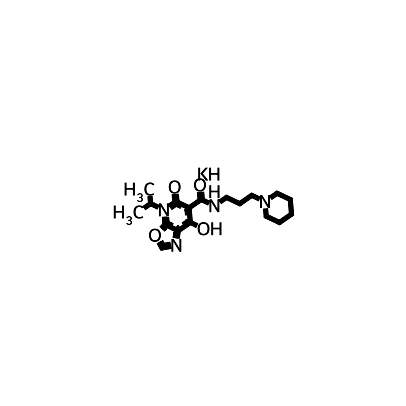 CC(C)n1c(=O)c(C(=O)NCCCN2CCCCC2)c(O)c2ncoc21.[KH]